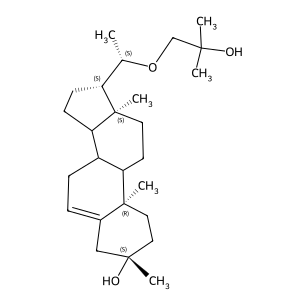 C[C@H](OCC(C)(C)O)[C@H]1CCC2C3CC=C4C[C@@](C)(O)CC[C@]4(C)C3CC[C@@]21C